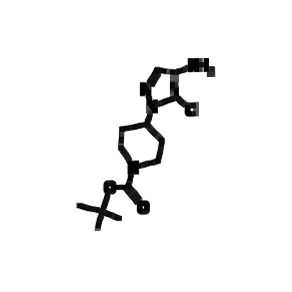 CC(C)(C)OC(=O)N1CCC(n2ncc(N)c2Cl)CC1